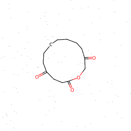 O=C1CCCCCCCC(=O)COC(=O)CC1